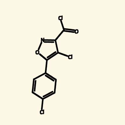 O=C(Cl)c1noc(-c2ccc(Cl)cc2)c1Cl